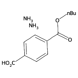 CCCCOC(=O)c1ccc(C(=O)O)cc1.N.N